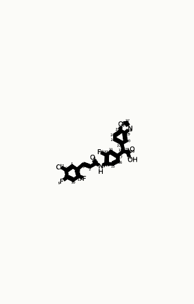 O=C(C=Cc1cc(Cl)c(F)cc1F)Nc1ccc(C(C(=O)O)c2ccc3ocnc3c2)cc1F